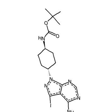 CC(C)(C)OC(=O)N[C@H]1CC[C@H](n2nc(I)c3c(N)ncnc32)CC1